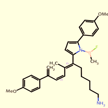 C=C(/C=C\C(C)=C(/CCCCCN)c1ccc(-c2ccc(OC)cc2)n1B(C)F)c1ccc(OC)cc1